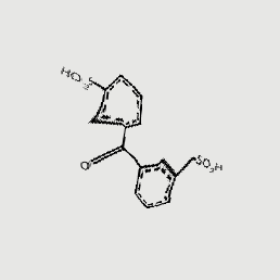 O=C(c1cccc(S(=O)(=O)O)c1)c1cccc(S(=O)(=O)O)c1